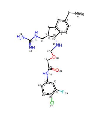 CNCc1ccc2c(c1)C[C@H](CNC(=N)N)[C@H]2NCOCC(=O)Nc1ccc(Cl)c(F)c1